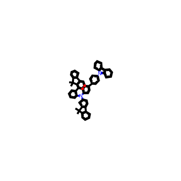 CC1(C)c2ccccc2-c2ccc(N(c3ccc(-c4ccc(-n5c6ccccc6c6ccccc65)cc4)cc3)c3ccccc3-c3cccc4c3C(C)(C)c3ccccc3-4)cc21